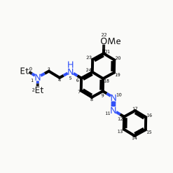 CCN(CC)CCNc1ccc(N=Nc2ccccc2)c2ccc(OC)cc12